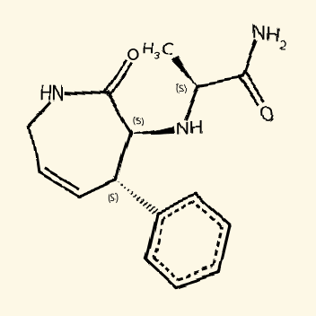 C[C@H](N[C@@H]1C(=O)NCC=C[C@H]1c1ccccc1)C(N)=O